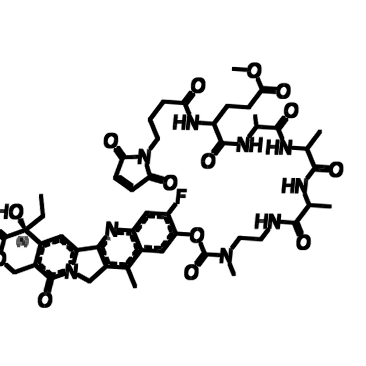 CC[C@@]1(O)C(=O)OCc2c1cc1n(c2=O)Cc2c-1nc1cc(F)c(OC(=O)N(C)CCNC(=O)C(C)NC(=O)C(C)NC(=O)C(C)NC(=O)C(CCC(=O)OC)NC(=O)CCCN3C(=O)C=CC3=O)cc1c2C